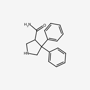 NC(=O)C1CNCC1(c1ccccc1)c1ccccc1